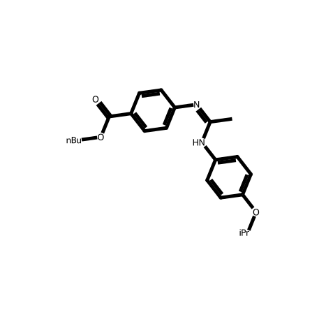 CCCCOC(=O)c1ccc(N=C(C)Nc2ccc(OC(C)C)cc2)cc1